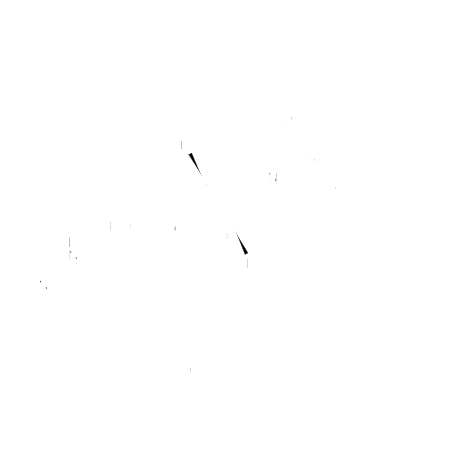 O=S(=O)(c1ccccc1)N1C[C@@H]2C[C@@](O)(c3cc(Cl)cc4cn[nH]c34)C[C@@H]2C1